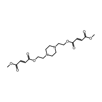 COC(=O)/C=C/C(=O)OCCN1CCN(CCOC(=O)/C=C/C(=O)OC)CC1